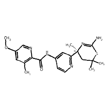 COc1cnc(C(=O)Nc2ccnc([C@]3(C)CC(C)(C)SC(N)=N3)c2)c(C)c1